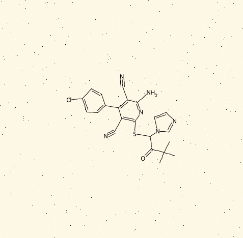 CC(C)(C)C(=O)C(Sc1nc(N)c(C#N)c(-c2ccc(Cl)cc2)c1C#N)n1ccnc1